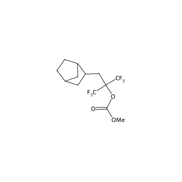 COC(=O)OC(CC1CC2CCC1C2)(C(F)(F)F)C(F)(F)F